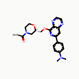 CNC(=O)N1CCO[C@H](COc2nc(-c3ccc(N(C)C)cc3)cc3nccnc23)C1